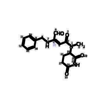 CN(C(=O)/C=C(\C=O)NCc1ccccc1)C1CCC(=O)NC1=O